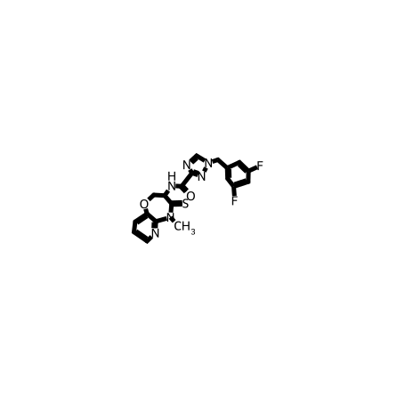 CN1C(=S)C(NC(=O)c2ncn(Cc3cc(F)cc(F)c3)n2)COc2cccnc21